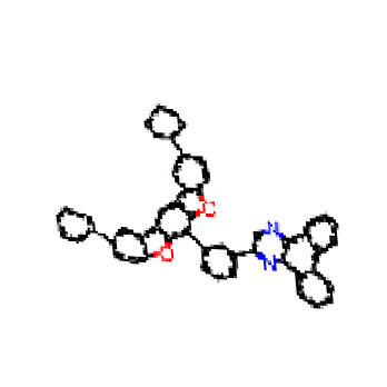 c1ccc(-c2ccc3oc4c(-c5cccc(-c6cnc7c8ccccc8c8ccccc8c7n6)c5)c5oc6ccc(-c7ccccc7)cc6c5cc4c3c2)cc1